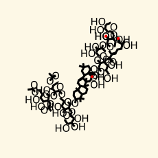 C=CC(C)(O)CC/C=C(\C)C(=O)OC1C(O)C(CO)OC(OC(=O)C23CCC(C)(C)CC2C2=CCC4C5(C)CCC(OC6OC(COC7OCC(OC(C)=O)C(O)C7OC7OC(COC(C)=O)C(O)C(O)C7OC(C)=O)C(O)C(O)C6OC6OCC(O)C(O)C6O)C(C)(C)C5CCC4(C)C2(C)C(O)C3O)C1OC1OCC(OC2OCC(O)C(OC3OCC(O)C(O)C3O)C2O)C(O)C1O